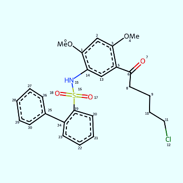 COc1cc(OC)c(C(=O)CCCCCl)cc1NS(=O)(=O)c1ccccc1-c1ccccc1